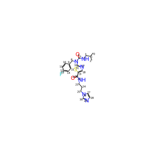 CC(C)CNC(=O)N(Cc1ccc(F)cc1)c1ncc(C(=O)NCCCn2ccnc2)s1